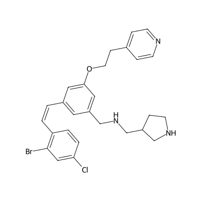 Clc1ccc(/C=C\c2cc(CNCC3CCNC3)cc(OCCc3ccncc3)c2)c(Br)c1